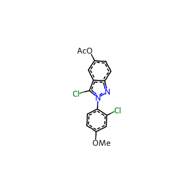 COc1ccc(-n2nc3ccc(OC(C)=O)cc3c2Cl)c(Cl)c1